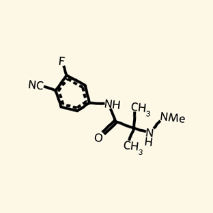 CNNC(C)(C)C(=O)Nc1ccc(C#N)c(F)c1